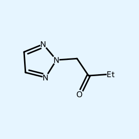 CCC(=O)Cn1nccn1